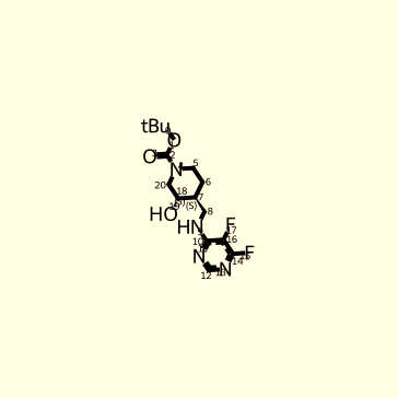 CC(C)(C)OC(=O)N1CC[C@@H](CNc2ncnc(F)c2F)[C@H](O)C1